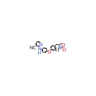 CCN1C(=O)OCC1Cc1ccc(Oc2ccc(Nc3ncccc3C#N)cc2)cc1